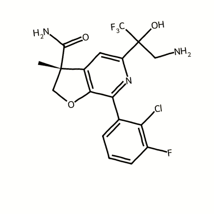 C[C@]1(C(N)=O)COc2c1cc(C(O)(CN)C(F)(F)F)nc2-c1cccc(F)c1Cl